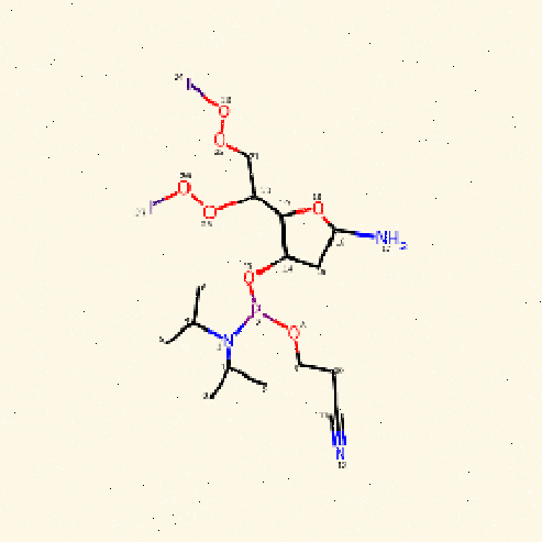 CC(C)N(C(C)C)P(OCCC#N)O[C@@H]1CC(N)OC1C(COOI)OOI